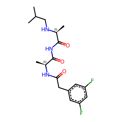 CC(C)CN[C@@H](C)C(=O)NC(=O)[C@H](C)NC(=O)Cc1cc(F)cc(F)c1